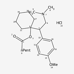 CCCCCC(=O)OC1(C(CN(C)C)c2ccc(OC)cc2)CCCCC1.Cl